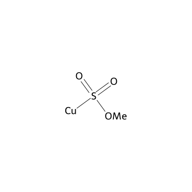 CO[S](=O)(=O)[Cu]